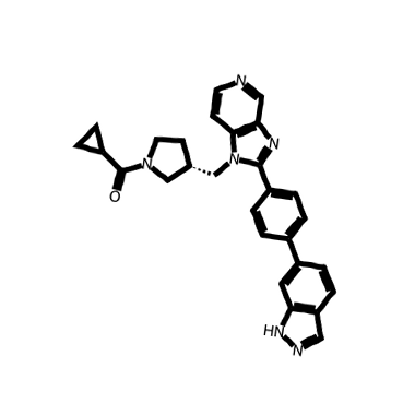 O=C(C1CC1)N1CC[C@H](Cn2c(-c3ccc(-c4ccc5cn[nH]c5c4)cc3)nc3cnccc32)C1